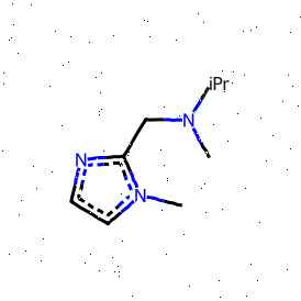 CC(C)N(C)Cc1nccn1C